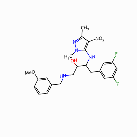 COc1cccc(CNCC(O)C(Cc2cc(F)cc(F)c2)Nc2c([N+](=O)[O-])c(C)nn2C)c1